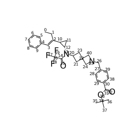 CCC(=Cc1ccccc1)C1C[C@@H]1N(C(=O)C(F)(F)F)C1CC2(C1)CN(Cc1ccc(C(=O)OC(C)(C)C)cc1)C2